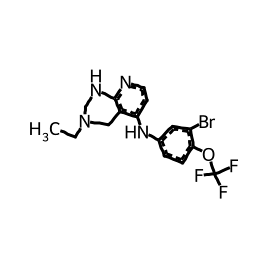 CCN1CNc2nccc(Nc3ccc(OC(F)(F)F)c(Br)c3)c2C1